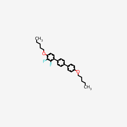 CCCCCOc1ccc(-c2ccc(-c3ccc(OCCCCC)c(F)c3F)cc2)cc1